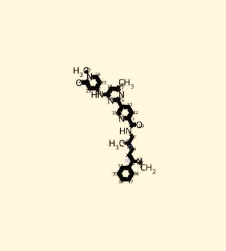 C=N/C(=C\C=C(/C)CNC(=O)c1ccc(-c2nc(C)cc(Nc3ccn(C)c(=O)c3)n2)cn1)c1ccccc1